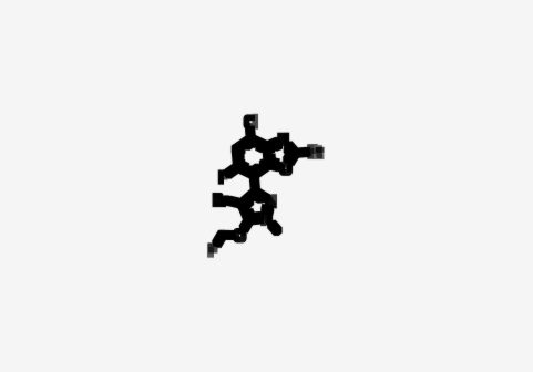 CCc1nc2c(Cl)cc(F)c(-c3nn(C)c(OCF)c3Br)c2o1